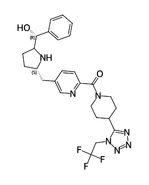 O=C(c1ccc(C[C@@H]2CCC([C@H](O)c3ccccc3)N2)cn1)N1CCC(c2nnnn2CC(F)(F)F)CC1